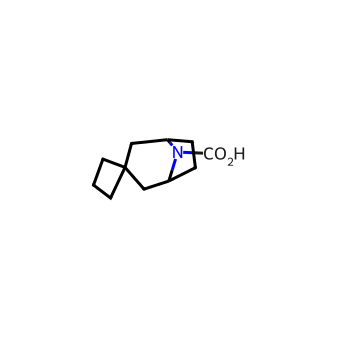 O=C(O)N1C2CCC1CC1(CCC1)C2